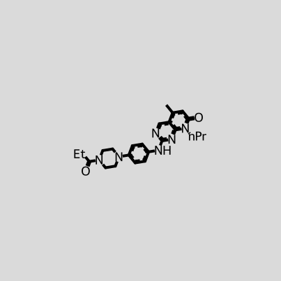 CCCn1c(=O)cc(C)c2cnc(Nc3ccc(N4CCN(C(=O)CC)CC4)cc3)nc21